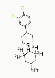 [2H]C1([2H])C[C@H](CCC)CC([2H])([2H])[C@H]1[Si@H]1CC[C@H](c2ccc(F)c(F)c2)CC1